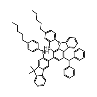 CCCCCc1ccc(Nc2cc3c(cc2-c2cc(C(c4ccccc4)c4ccccc4)c4c5ccccc5n5c4c2Bc2cc(CCCCC)ccc2-5)-c2ccccc2C3(C)C)cc1